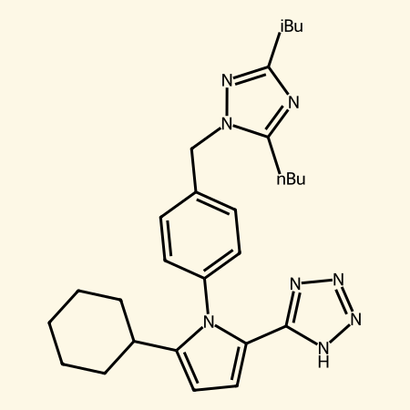 CCCCc1nc(C(C)CC)nn1Cc1ccc(-n2c(-c3nnn[nH]3)ccc2C2CCCCC2)cc1